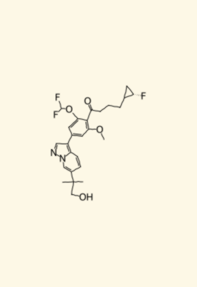 COc1cc(-c2cnn3cc(C(C)(C)CO)ccc23)cc(OC(F)F)c1C(=O)CCCC1C[C@@H]1F